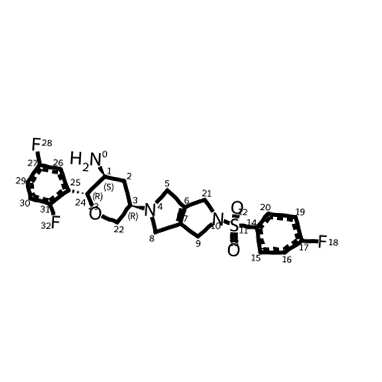 N[C@H]1C[C@@H](N2CC3=C(C2)CN(S(=O)(=O)c2ccc(F)cc2)C3)CO[C@@H]1c1cc(F)ccc1F